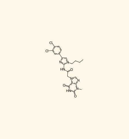 CCCCn1cc(-c2ccc(Cl)c(Cl)c2)nc1NC(=O)Cn1cnc2c1c(=O)[nH]c(=O)n2C